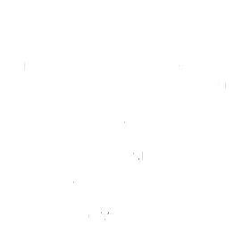 COC(=O)CCNC(=O)c1ccc(C(Oc2cc(C)c(-c3ccc(C(C)C)cc3)c(C)c2)C(C)C)s1